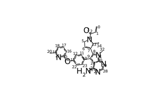 C=CC(=O)N1CC=C(c2c(-c3ccc(Oc4cccc(C)n4)cc3)c3c(N)ncnc3n2C)[C@@H]1C